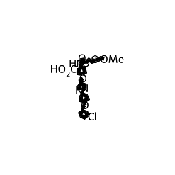 COCCOCCOC(=O)Nc1ccc(OCc2cnc(-c3ccc(OCc4cccc(Cl)c4)cc3)nc2)cc1C(=O)O